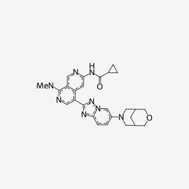 CNc1ncc(-c2nc3ccc(N4CC5COCC(C5)C4)cn3n2)c2cc(NC(=O)C3CC3)ncc12